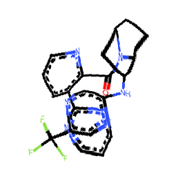 O=C(c1ncccc1-c1ncccn1)N1C2CCC1C(Nc1cnc(C(F)(F)F)cn1)C2